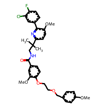 COc1ccc(COCCOc2ccc(C(=O)NCC(C)(C)c3ccc(OC)c(-c4ccc(F)c(Cl)c4)n3)cc2OC)cc1